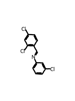 Clc1cccc(N=Cc2ccc(Cl)cc2Cl)c1